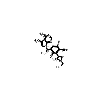 CCN1CC(c2c(C#N)c(Cl)cc(C(C)n3nc(C)c4c(N)ncnc43)c2OC)C1